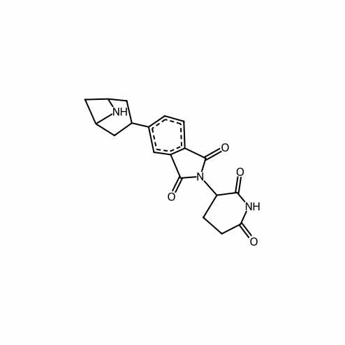 O=C1CCC(N2C(=O)c3ccc(C4CC5CC(C4)N5)cc3C2=O)C(=O)N1